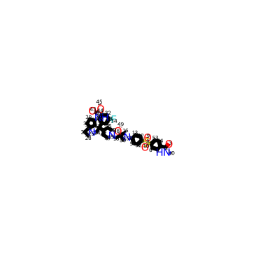 CNC(=O)c1ccc(S(=O)(=O)c2ccc(N3CC(CN4CCC(C(CN5CCC5)(c5cccc(F)c5)[C@H]5CCC[C@@H]5NC(=O)OC)CC4)(OC)C3)cc2)cc1